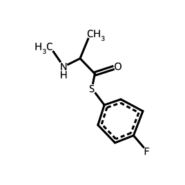 CNC(C)C(=O)Sc1ccc(F)cc1